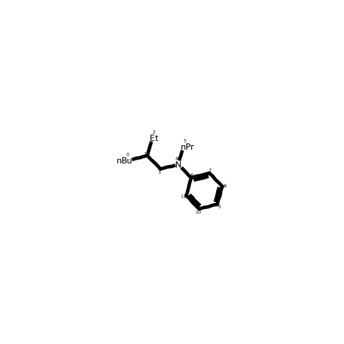 CCCCC(CC)CN(CCC)c1ccccc1